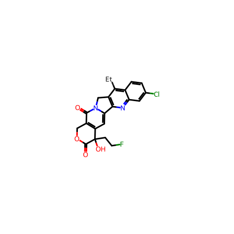 CCc1c2c(nc3cc(Cl)ccc13)-c1cc3c(c(=O)n1C2)COC(=O)C3(O)CCF